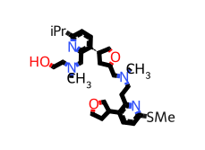 CSc1ccc(C2CCOC2)c(CCN(C)CC2C[C@H](c3ccc(C(C)C)nc3CN(C)CCO)CO2)n1